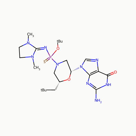 CN1CCN(C)C1=NP(=S)(OC(C)(C)C)N1C[C@@H](CC(C)(C)C)O[C@@H](n2cnc3c(=O)[nH]c(N)nc32)C1